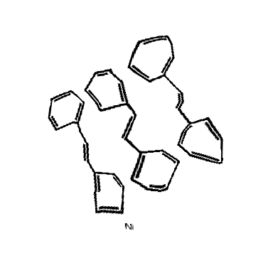 C(=Cc1ccccc1)c1ccccc1.C(=Cc1ccccc1)c1ccccc1.C(=Cc1ccccc1)c1ccccc1.[Ni]